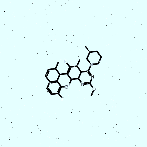 COC1=NC2C(F)C(C3c4c(ccc(F)c4Cl)C=CC3C)=C(F)C(C)C2C(N2CCC[C@H](C)C2)=N1